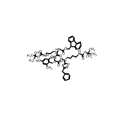 Cc1cc(O)cc(C)c1C[C@H](NC(=O)[C@@H](CCCNC(=O)OC(C)(C)C)NC(=O)OCC1c2ccccc2-c2ccccc21)C(=O)N[C@@H](CCCCNC(=O)OC(C)(C)C)c1nc(Cc2ccccc2)no1